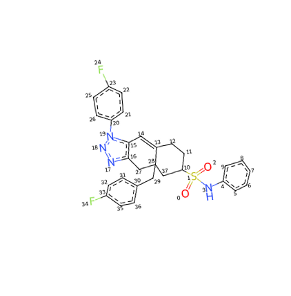 O=S(=O)(Nc1ccccc1)C1CCC2=Cc3c(nnn3-c3ccc(F)cc3)CC2(Cc2ccc(F)cc2)C1